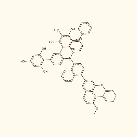 Bc1c(O)c(O)c(O)c(-c2cc(-c3c(O)cc(O)cc3O)ccc2N(c2ccc(-c3cc4c5c(c(OC)ccc5c3)C3=CCCC=C3O4)c3ccccc23)C2C=CC(c3ccccc3)=CC2)c1O